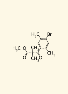 COC(=O)C(C)(C)C(=O)c1cc(C)c(Br)cc1C